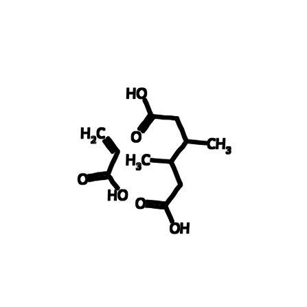 C=CC(=O)O.CC(CC(=O)O)C(C)CC(=O)O